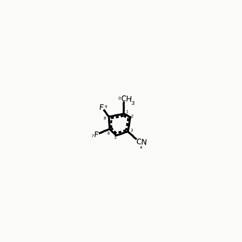 Cc1cc(C#N)cc(F)c1F